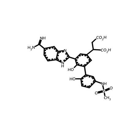 CS(=O)(=O)Nc1ccc(O)c(-c2cc(C(CC(=O)O)C(=O)O)cc(-c3nc4cc(C(=N)N)ccc4[nH]3)c2O)c1